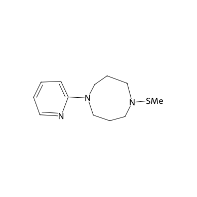 CSN1CCCN(c2ccccn2)CCC1